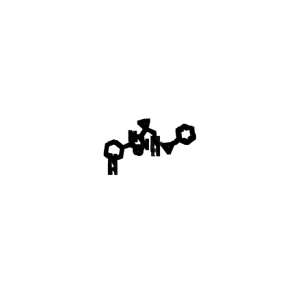 c1ccc(C2C[C@@H]2NCC2(c3noc([C@@H]4CCCNC4)n3)CC2)cc1